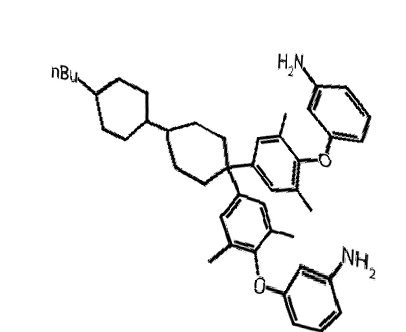 CCCCC1CCC(C2CCC(c3cc(C)c(Oc4cccc(N)c4)c(C)c3)(c3cc(C)c(Oc4cccc(N)c4)c(C)c3)CC2)CC1